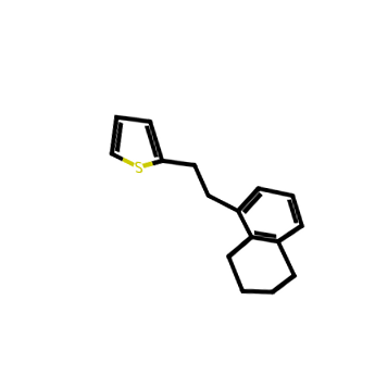 c1csc(CCc2cccc3c2CCCC3)c1